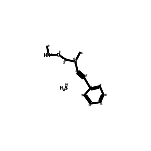 CNOSN(C)C#Cc1ccccc1.S